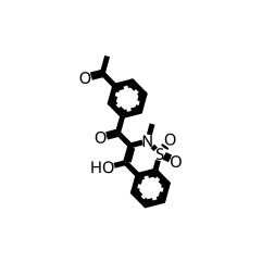 CC(=O)c1cccc(C(=O)C2=C(O)c3ccccc3S(=O)(=O)N2C)c1